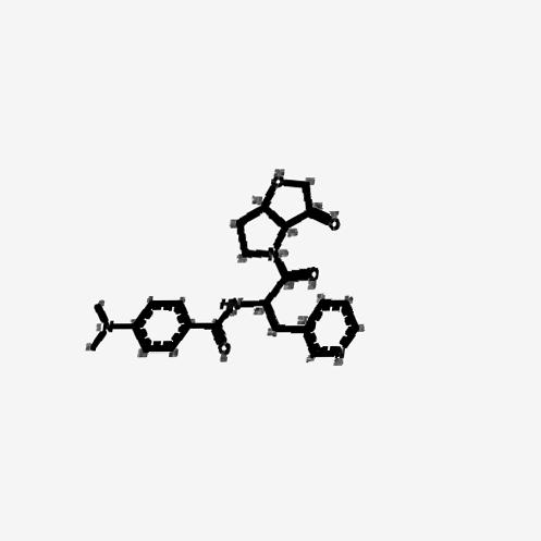 CN(C)c1ccc(C(=O)NC(Cc2cccnc2)C(=O)N2CCC3OCC(=O)C32)cc1